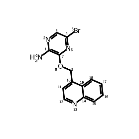 Nc1ncc(Br)nc1OCc1ccnc2ccccc12